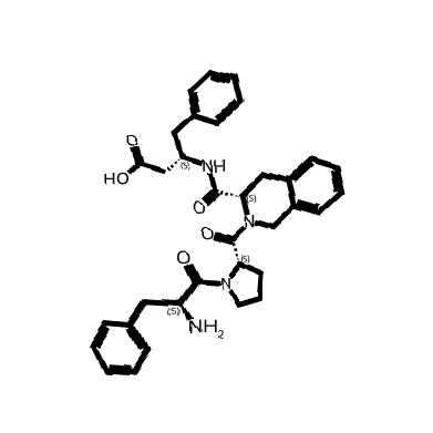 N[C@@H](Cc1ccccc1)C(=O)N1CCC[C@H]1C(=O)N1Cc2ccccc2C[C@H]1C(=O)N[C@H](CC(=O)O)Cc1ccccc1